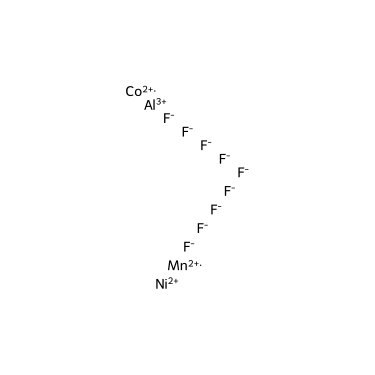 [Al+3].[Co+2].[F-].[F-].[F-].[F-].[F-].[F-].[F-].[F-].[F-].[Mn+2].[Ni+2]